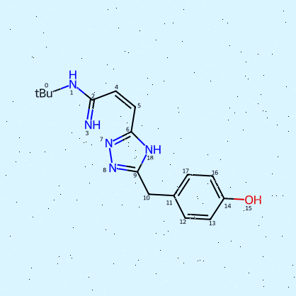 CC(C)(C)NC(=N)/C=C\c1nnc(Cc2ccc(O)cc2)[nH]1